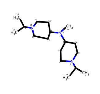 CC(C)N1CCC(N(C)C2CCN(C(C)C)CC2)CC1